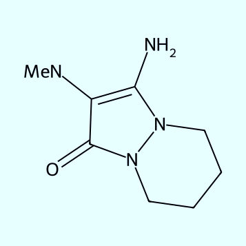 CNc1c(N)n2n(c1=O)CCCC2